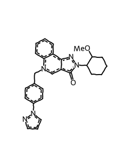 COC1CCCCC1n1nc2c3ccccc3n(Cc3ccc(-n4cccn4)cc3)cc-2c1=O